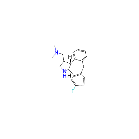 CN(C)CC1CN[C@@H]2c3cc(F)ccc3Cc3ccccc3[C@@H]12